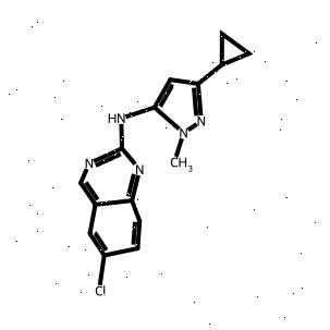 Cn1nc(C2CC2)cc1Nc1ncc2cc(Cl)ccc2n1